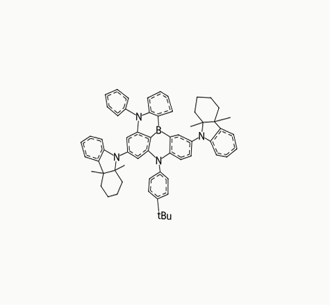 CC(C)(C)c1ccc(N2c3ccc(N4c5ccccc5C5(C)CCCCC45C)cc3B3c4ccccc4N(c4ccccc4)c4cc(N5c6ccccc6C6(C)CCCCC56C)cc2c43)cc1